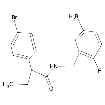 Bc1ccc(F)c(CNC(=O)C(CC)c2ccc(Br)cc2)c1